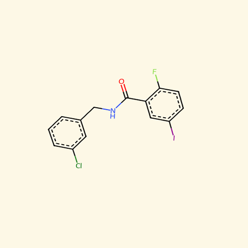 O=C(NCc1cccc(Cl)c1)c1cc(I)ccc1F